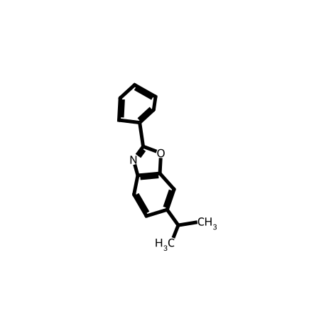 CC(C)c1ccc2nc(-c3ccccc3)oc2c1